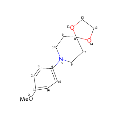 COc1ccc(N2CCC3(CC2)OCCO3)cc1